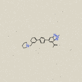 C=C(C)c1cc(-c2ccc(C3=CCCC(CN4CCCCC4)=C3)cc2)cc2nn(C)nc12